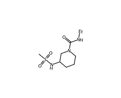 CCNC(=O)N1CCCC(NS(C)(=O)=O)C1